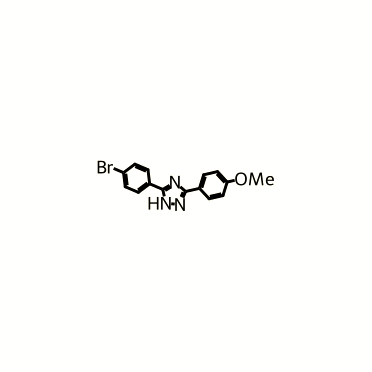 COc1ccc(-c2n[nH]c(-c3ccc(Br)cc3)n2)cc1